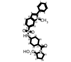 Cn1c(-c2ccccc2)cc2ccc(S(=O)(=O)NC3CCC(C(=O)N4CCCC4C(=O)O)CC3)cc21